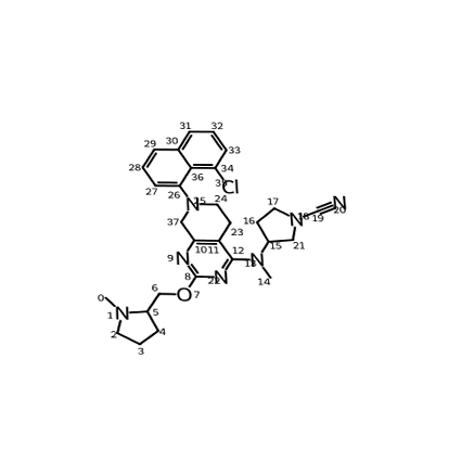 CN1CCCC1COc1nc2c(c(N(C)C3CCN(C#N)C3)n1)CCN(c1cccc3cccc(Cl)c13)C2